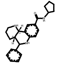 O=C(NC1CCCC1)c1ccc2c(c1)[C@H]1NCCC[C@H]1C(c1ccccc1)N2